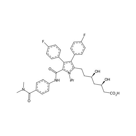 CC(C)n1c(CC[C@@H](O)C[C@@H](O)CC(=O)O)c(-c2ccc(F)cc2)c(-c2ccc(F)cc2)c1C(=O)Nc1ccc(C(=O)N(C)C)cc1